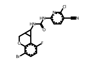 N#Cc1ccc(NC(=O)NC2C3COc4c(Br)ccc(F)c4C32)nc1Cl